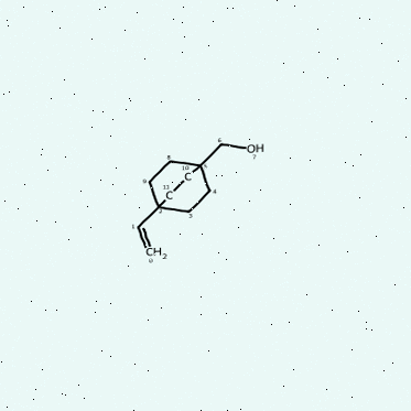 C=CC12CCC(CO)(CC1)CC2